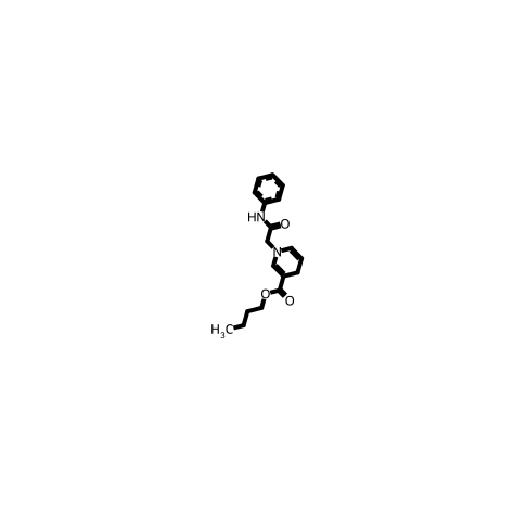 CCCCOC(=O)C1=CN(CC(=O)Nc2ccccc2)C=CC1